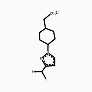 CCOC(=O)CC1CCC(n2ccc(C(F)F)n2)CC1